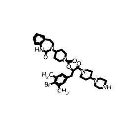 Cc1cc(CC(OC(=O)N2CCC(N3CCc4ccccc4NC3=O)CC2)C(=O)N2CCC(N3CCNCC3)CC2)cc(C)c1Br